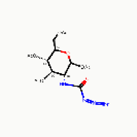 CC(=O)OC[C@H]1OC(OC(C)=O)[C@H](NC(=O)N=[N+]=[N-])[C@@H](OC(C)=O)[C@@H]1OC(C)=O